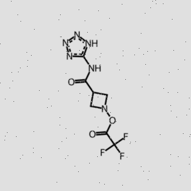 O=C(Nc1nnn[nH]1)C1CN(OC(=O)C(F)(F)F)C1